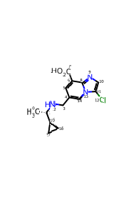 C[C@H](NCc1cc(C(=O)O)c2ncc(Cl)n2c1)C1CC1